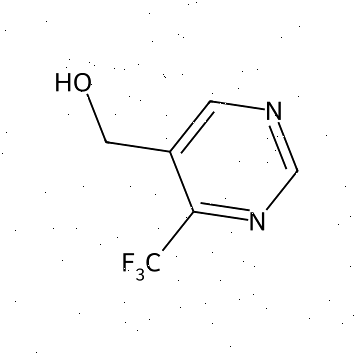 OCc1cncnc1C(F)(F)F